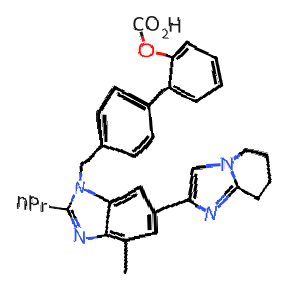 CCCc1nc2c(C)cc(-c3cn4c(n3)CCCC4)cc2n1Cc1ccc(-c2ccccc2OC(=O)O)cc1